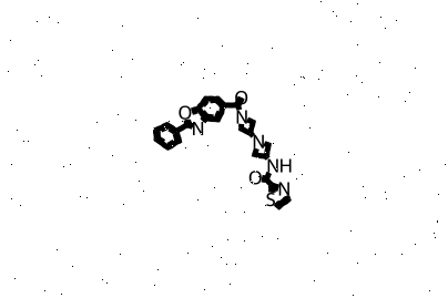 O=C(NC1CN(C2CN(C(=O)c3ccc4oc(-c5ccccc5)nc4c3)C2)C1)c1nccs1